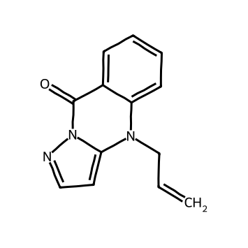 C=CCn1c2ccccc2c(=O)n2nccc12